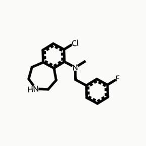 CN(Cc1cccc(F)c1)c1c(Cl)ccc2c1CCNCC2